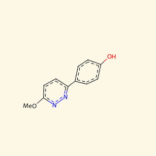 COc1ccc(-c2ccc(O)cc2)nn1